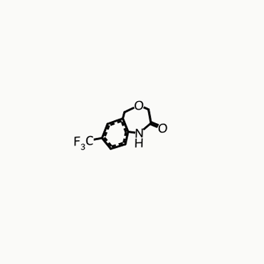 O=C1COCc2cc(C(F)(F)F)ccc2N1